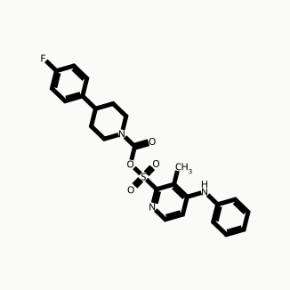 Cc1c(Nc2ccccc2)ccnc1S(=O)(=O)OC(=O)N1CCC(c2ccc(F)cc2)CC1